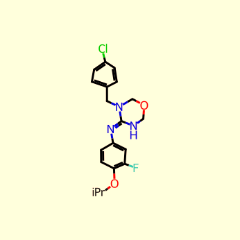 CC(C)Oc1ccc(/N=C2\NCOCN2Cc2ccc(Cl)cc2)cc1F